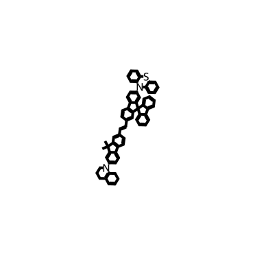 CC1(C)c2cc(/C=C/c3ccc4c(c3)C3(c5ccccc5-c5ccccc53)c3cc(N5c6ccccc6Sc6ccccc65)ccc3-4)ccc2-c2ccc(N3CCCC4=C3CCC=C4)cc21